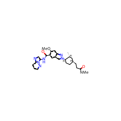 CNC(=O)CC[C@H]1CC[C@@H](n2cc3cc(C(=O)Nc4cnc5cccnn45)c(OC)cc3n2)[C@H](C)C1